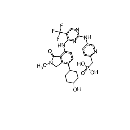 CN1Cc2c(c(Nc3nc(Nc4ccc(CP(=O)(O)O)nc4)ncc3C(F)(F)F)ccc2[C@H]2CC[C@H](O)CC2)C1=O